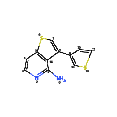 Nc1nccc2scc(-c3ccsc3)c12